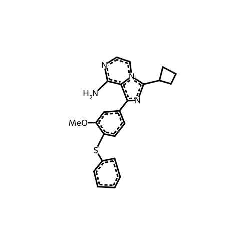 COc1cc(-c2nc(C3CCC3)n3ccnc(N)c23)ccc1Sc1ccccc1